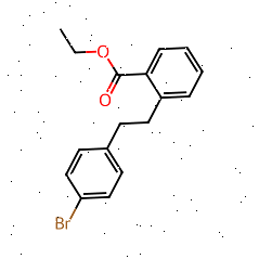 CCOC(=O)c1ccccc1CCc1ccc(Br)cc1